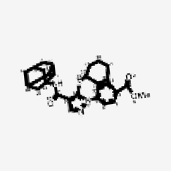 COC(=O)c1ccc(-n2ncc(C(=O)NC34CC5CC(CC(C5)C3)C4)c2SC2CCCCC2)cc1